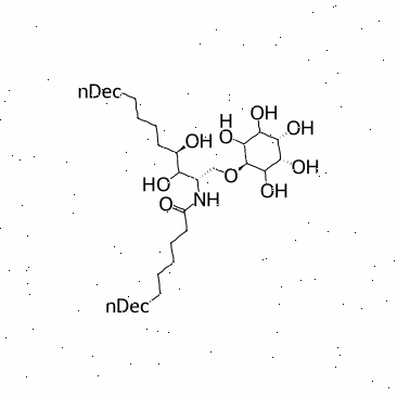 CCCCCCCCCCCCCCCC(=O)N[C@@H](CO[C@H]1C(O)C(O)[C@H](O)[C@H](O)C1O)C(O)[C@H](O)CCCCCCCCCCCCCC